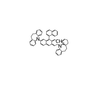 C/C=c1/c(-c2cccc3ccccc23)c2cc(N3c4ccccc4CCc4ccccc43)ccc2c/c1=C/CN1C2=C(CCC=C2)CCc2ccccc21